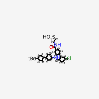 CC(C)(C)c1ccc(-c2ccc(NCc3ccc(Cl)cc3-c3ccc(C(=O)NCCS(=O)(=O)O)cc3)cc2)cc1